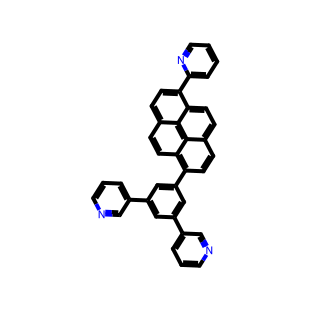 c1ccc(-c2ccc3ccc4c(-c5cc(-c6cccnc6)cc(-c6cccnc6)c5)ccc5ccc2c3c54)nc1